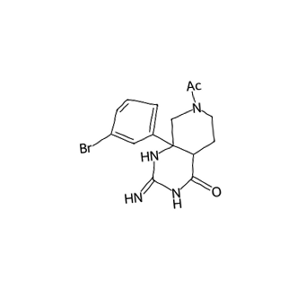 CC(=O)N1CCC2C(=O)NC(=N)NC2(c2cccc(Br)c2)C1